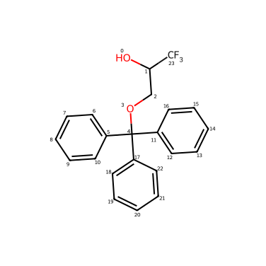 OC(COC(c1ccccc1)(c1ccccc1)c1ccccc1)C(F)(F)F